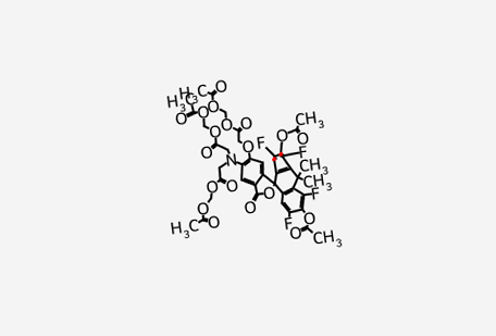 CC(=O)OCOC(=O)COc1cc2c(cc1N(CC(=O)OCOC(C)=O)CC(=O)OCOC(C)=O)C(=O)OC21c2cc(F)c(OC(C)=O)c(F)c2C(C)(C)c2c1cc(F)c(OC(C)=O)c2F